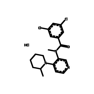 CC1CCCCN1c1ccncc1N(C)C(=O)c1cc(Cl)cc(Cl)c1.Cl